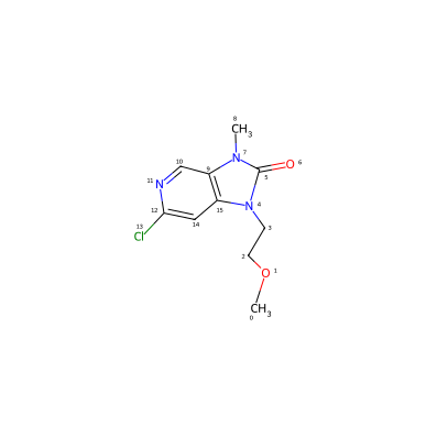 COCCn1c(=O)n(C)c2cnc(Cl)cc21